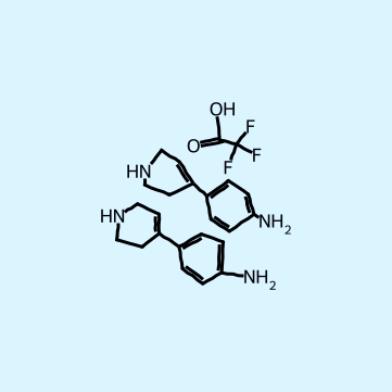 Nc1ccc(C2=CCNCC2)cc1.Nc1ccc(C2=CCNCC2)cc1.O=C(O)C(F)(F)F